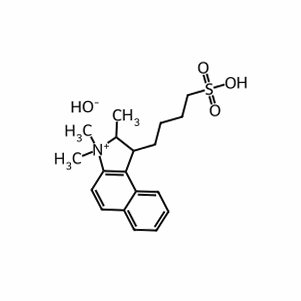 CC1C(CCCCS(=O)(=O)O)c2c(ccc3ccccc23)[N+]1(C)C.[OH-]